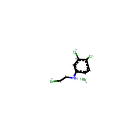 Br.Clc1ccc(NCCBr)cc1Cl